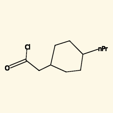 CCCC1CCC(CC(=O)Cl)CC1